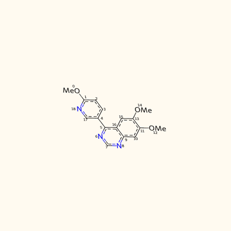 COc1ccc(-c2ncnc3cc(OC)c(OC)cc23)cn1